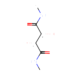 CC(C)NC(=O)[C@H](O)[C@@H](O)C(=O)NC(C)C